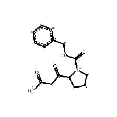 CC(=O)CC(=O)C1CCCN1C(=O)OCc1ccccc1